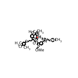 COCCn1cc(N2C[C@@H](C)n3c(c(CCCOc4cc(C)c(Cl)c(C)c4)c4c3C(c3c(C)nn(C)c3C)C(Cl)C=C4)C2=O)c2c1C=CC(c1ncn(CCN3CCN(C)CC3)n1)C2